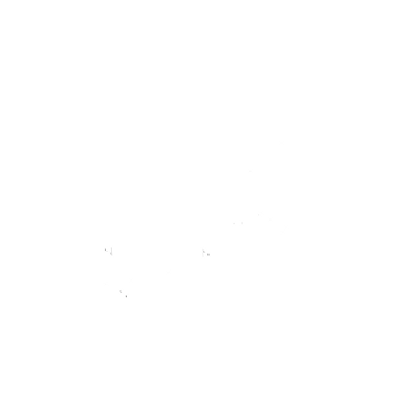 CCCCCCOc1nsnc1C1=CCC[N+](C)(C(OC(=O)C2CCCCC2)c2ccccc2)C1.[I-]